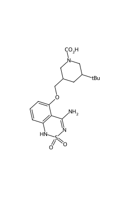 CC(C)(C)C1CC(COc2cccc3c2C(N)=NS(=O)(=O)N3)CN(C(=O)O)C1